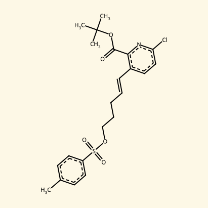 Cc1ccc(S(=O)(=O)OCCC/C=C/c2ccc(Cl)nc2C(=O)OC(C)(C)C)cc1